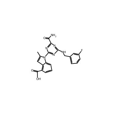 Cc1cc2c(C(=O)O)cccc2n1-c1nc(NCc2cccc(F)c2)nc(C(N)=O)n1